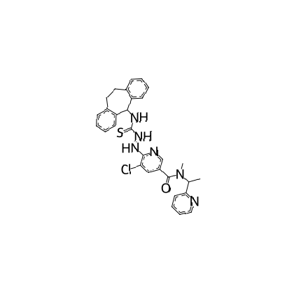 CC(c1ccccn1)N(C)C(=O)c1cnc(NNC(=S)NC2c3ccccc3CCc3ccccc32)c(Cl)c1